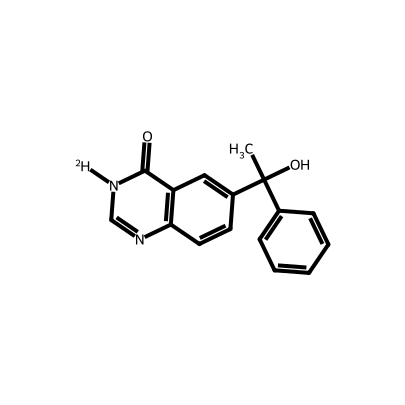 [2H]n1cnc2ccc(C(C)(O)c3ccccc3)cc2c1=O